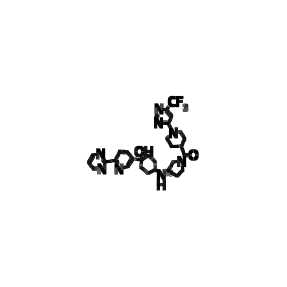 O=C(C1CCN(c2cc(C(F)(F)F)ncn2)CC1)N1CC[C@H](NC2CCC(O)(c3ccc(-c4ncccn4)nc3)CC2)C1